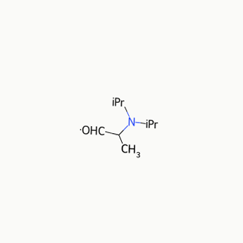 CC(C)N(C(C)C)C(C)[C]=O